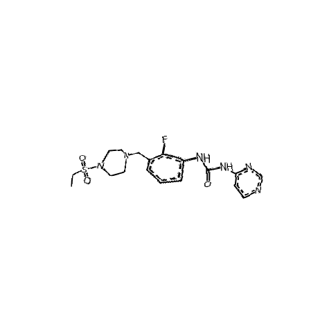 CCS(=O)(=O)N1CCN(Cc2cccc(NC(=O)Nc3ccncn3)c2F)CC1